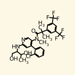 CC(O)C(CO)Nc1cc(-c2ccccc2Cl)c(N(C)C(=O)C(C)(C)c2cc(C(F)(F)F)cc(C(F)(F)F)c2)cn1